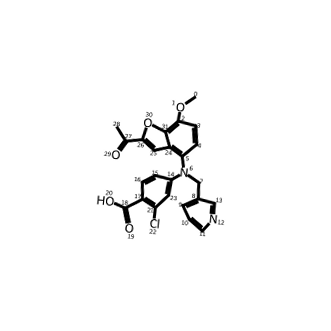 COc1ccc(N(Cc2cccnc2)c2ccc(C(=O)O)c(Cl)c2)c2cc(C(C)=O)oc12